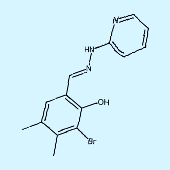 Cc1cc(/C=N/Nc2ccccn2)c(O)c(Br)c1C